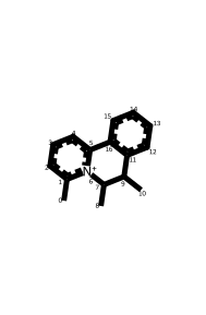 Cc1cccc2[n+]1C(C)C(C)c1ccccc1-2